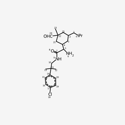 CC(C)CC1CC(C(N)C(=O)NCC(C)(C)c2ccc(Cl)cc2)CC(C)(C=O)C1